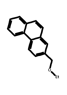 CCOCc1ccc2c(ccc3ccccc32)c1